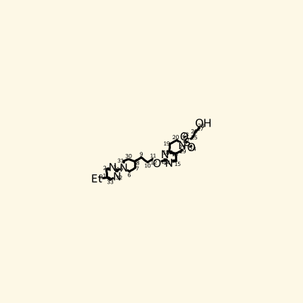 CCc1cnc(N2CCC(CCCOc3ncc4c(n3)CCN(S(=O)(=O)CCCO)C4)CC2)nc1